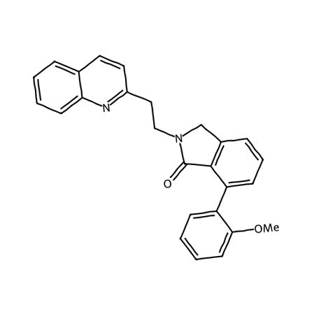 COc1ccccc1-c1cccc2c1C(=O)N(CCc1ccc3ccccc3n1)C2